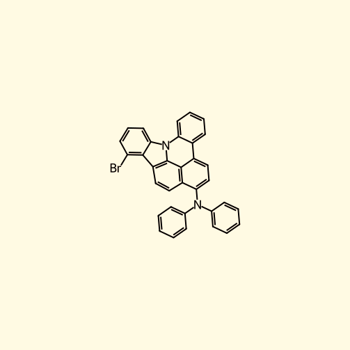 Brc1cccc2c1c1ccc3c(N(c4ccccc4)c4ccccc4)ccc4c5ccccc5n2c1c34